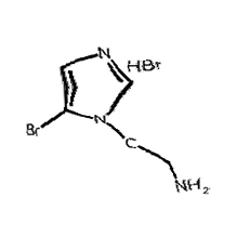 Br.NCCn1cncc1Br